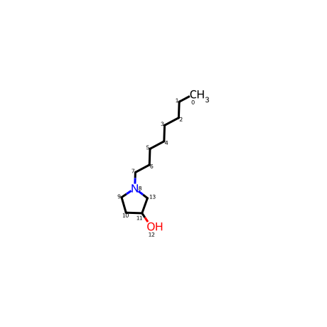 CCCCCCCCN1CCC(O)C1